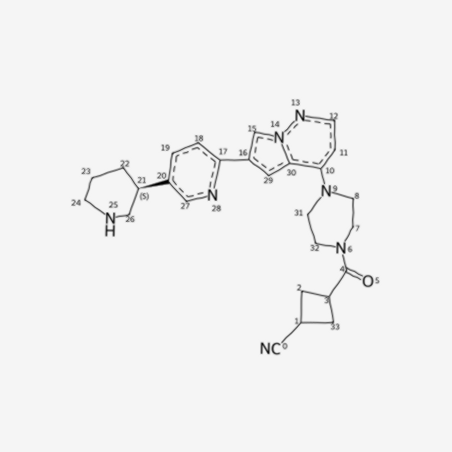 N#CC1CC(C(=O)N2CCN(c3ccnn4cc(-c5ccc([C@@H]6CCCNC6)cn5)cc34)CC2)C1